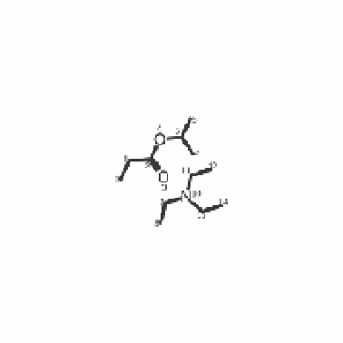 CCC(=O)OC(C)C.CCN(CC)CC